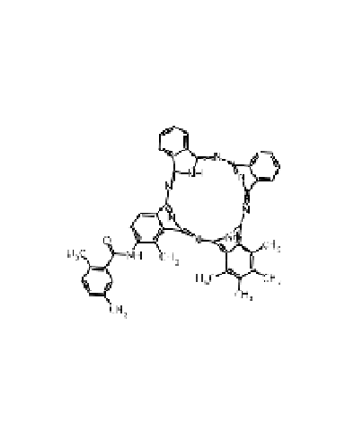 Cc1ccc(C)c(C(=O)Nc2ccc3c(c2C)-c2nc-3nc3[nH]c(nc4nc(nc5[nH]c(n2)c2c(C)c(C)c(C)c(C)c52)-c2ccccc2-4)c2ccccc32)c1